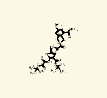 COC(=O)c1cc(OC)cc2c1CN(C(=O)C1Cc3c(sc(NC(=O)C(=O)OC(C)(C)C)c3C(=O)OC(C)(C)C)CN1)C2